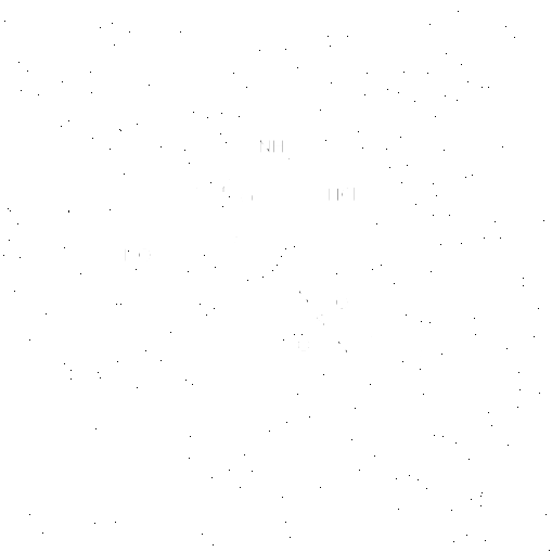 Cc1ccc2c(c1O)C[C@@H](C1CCN(S(=O)(=O)N3CCc4ccccc4C3)CC1)O[C@H]2CN.Cl